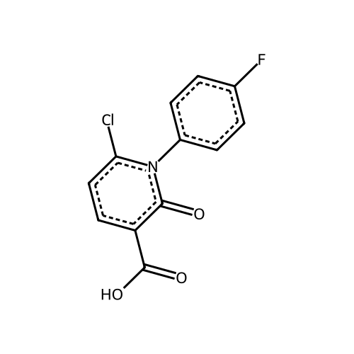 O=C(O)c1ccc(Cl)n(-c2ccc(F)cc2)c1=O